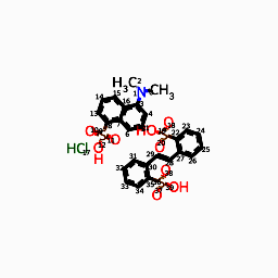 CN(C)c1cccc2c(S(=O)(=O)O)cccc12.Cl.O=S(=O)(O)c1ccccc1C=Cc1ccccc1S(=O)(=O)O